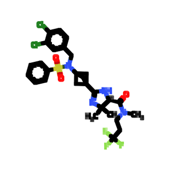 CN(CCC(F)(F)F)C(=O)[C@@H]1NC(C23CC(N(Cc4ccc(Cl)c(Cl)c4)S(=O)(=O)c4ccccc4)(C2)C3)=NC1(C)C